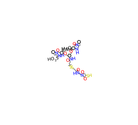 COc1cc2c(cc1OCc1cc(COc3cc4c(cc3OC)C(=O)N3c5ccccc5CC3C(S(=O)(=O)O)N4)cc(NC(=O)CCC(C)(C)SSCCCC(=O)NCCN3CC(=O)C(S)CC3=O)c1)NCC1Cc3ccccc3N1C2=O